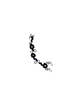 Nc1cc(N)cc(CCCOC(=O)/C=C/c2ccc(OC(=O)c3ccc(OCCCC(F)(F)F)cc3)cc2)c1